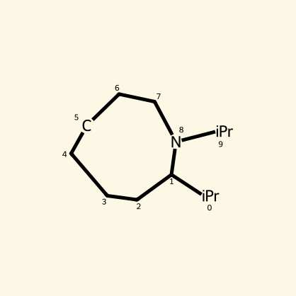 CC(C)C1CCCCCCN1C(C)C